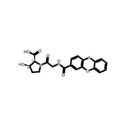 O=C(NCC(=O)N1CC[C@@H](O)[C@H]1C(=O)O)c1ccc2c(c1)Oc1ccccc1S2